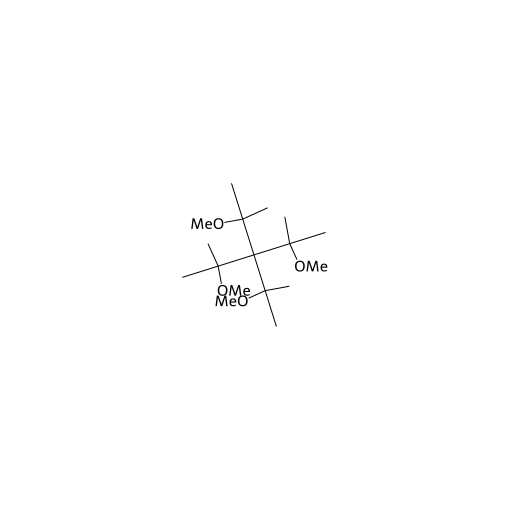 COC(C)(C)C(C(C)(C)OC)(C(C)(C)OC)C(C)(C)OC